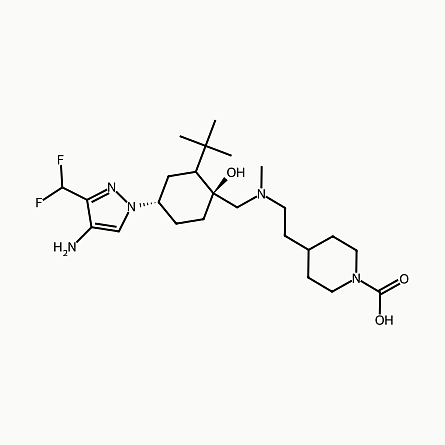 CN(CCC1CCN(C(=O)O)CC1)C[C@]1(O)CC[C@H](n2cc(N)c(C(F)F)n2)CC1C(C)(C)C